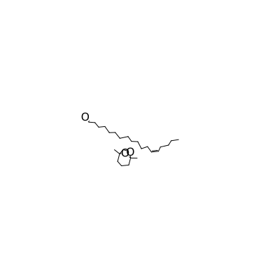 CC12CCCC(C)(OC1)O2.CCCC/C=C\CCCCCCCCCCCC=O